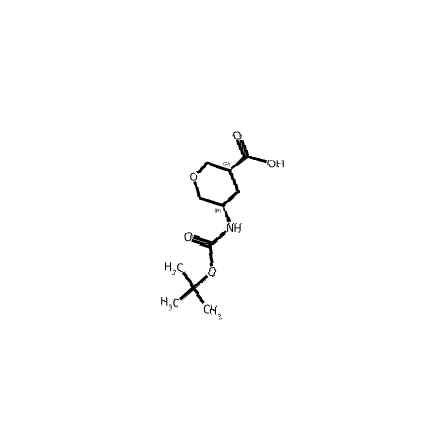 CC(C)(C)OC(=O)N[C@H]1COC[C@@H](C(=O)O)C1